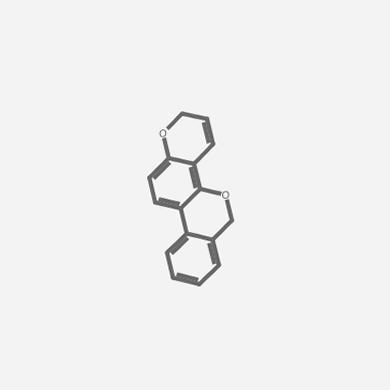 C1=Cc2c(ccc3c2OCc2ccccc2-3)OC1